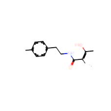 CC(O)=C(C#N)C(=O)NCCc1ccc(C(F)(F)F)cc1